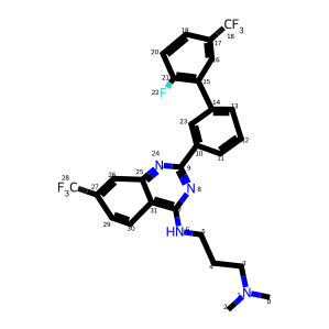 CN(C)CCCNc1nc(-c2cccc(-c3cc(C(F)(F)F)ccc3F)c2)nc2cc(C(F)(F)F)ccc12